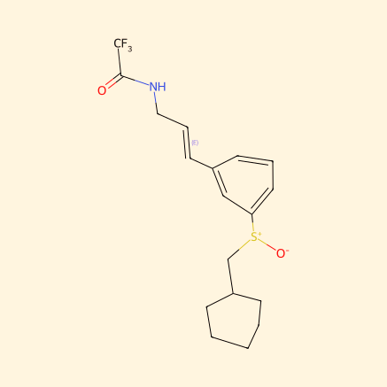 O=C(NC/C=C/c1cccc([S+]([O-])CC2CCCCC2)c1)C(F)(F)F